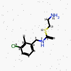 C=C(NCc1cccc(Cl)c1C)SCCN